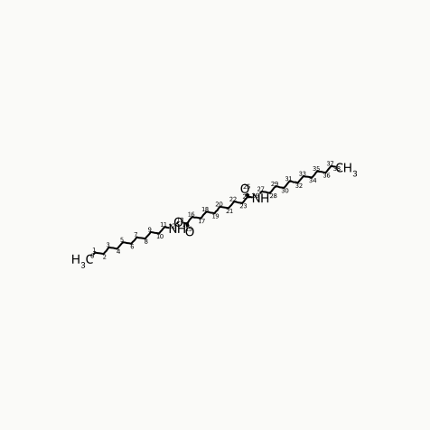 CCCCCCCCCCCCNOC(=O)CCCCCCCCC(=O)NCCCCCCCCCCCC